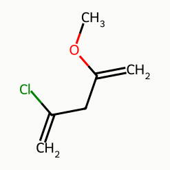 C=C(Cl)CC(=C)OC